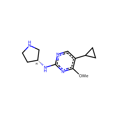 COc1nc(N[C@@H]2CCNC2)ncc1C1CC1